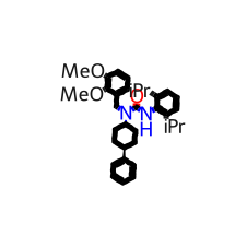 COc1cccc(CN(C(=O)Nc2c(C(C)C)cccc2C(C)C)[C@H]2CC[C@H](c3ccccc3)CC2)c1OC